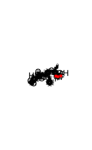 CCCc1cc(C(O)(C(F)(F)F)C(F)(F)F)ccc1Oc1ccc(C(=O)CN2C(=O)NC(C)(c3cc4c(cn3)OCCO4)C2=O)c(OCc2ccccc2)c1